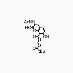 CC(=O)NC1Cc2ccc(O)c(C(=O)OCOC(=O)C(C)(C)C)c2OB1O